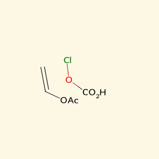 C=COC(C)=O.O=C(O)OCl